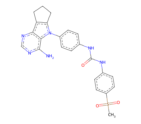 CS(=O)(=O)c1ccc(NC(=O)Nc2ccc(-n3c4c(c5ncnc(N)c53)CCC4)cc2)cc1